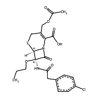 CCCO[C@]1(NC(=O)Cc2ccc(Cl)cc2)C(=O)N2C(C(=O)O)=C(COC(C)=O)CS[C@@H]21